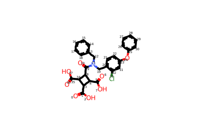 O=C(O)C1C(C(=O)O)C(C(=O)N(Cc2ccccc2)Cc2ccc(Oc3ccccc3)cc2Cl)C1C(=O)O